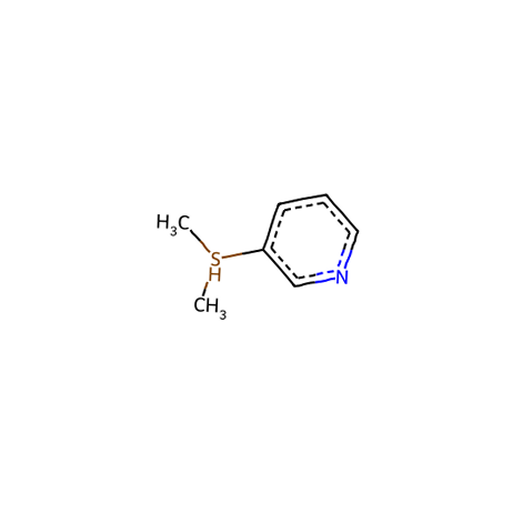 C[SH](C)c1cccnc1